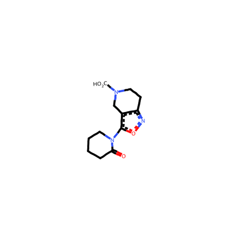 O=C(O)N1CCc2noc(N3CCCCC3=O)c2C1